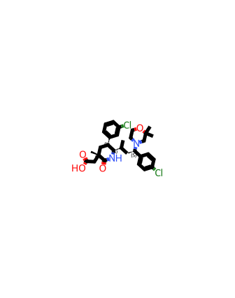 CC(C[C@@H](c1ccc(Cl)cc1)N1CCOC(C)(C)C1)[C@@H]1NC(=O)[C@](C)(CC(=O)O)C[C@@H]1c1cccc(Cl)c1